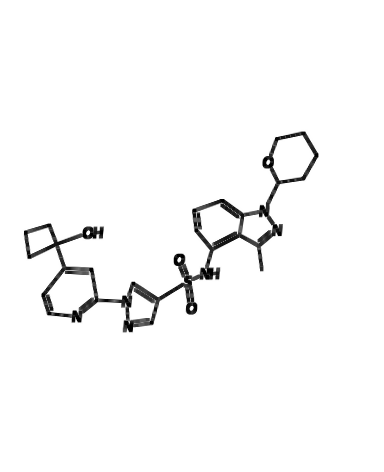 Cc1nn(C2CCCCO2)c2cccc(NS(=O)(=O)c3cnn(-c4cc(C5(O)CCC5)ccn4)c3)c12